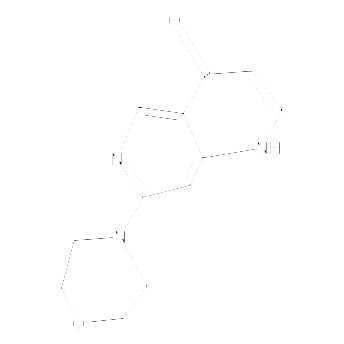 O=c1cc[nH]c2cc(N3CCOCC3)ncc12